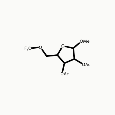 COC1OC(COC(F)(F)F)C(OC(C)=O)C1OC(C)=O